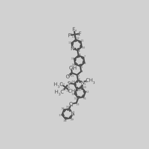 Cn1c(C(Cc2ccc(-c3ccc(C(F)(F)F)cn3)cc2)C(=O)O)c(SC(C)(C)C)c2cc(COc3ccccn3)ccc21